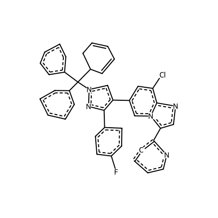 Fc1ccc(-c2nn(C(c3ccccc3)(c3ccccc3)C3C=CC=CC3)cc2-c2cc(Cl)c3ncc(-c4ccccn4)n3c2)cc1